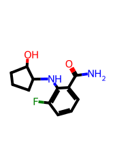 NC(=O)c1cccc(F)c1NC1CCCC1O